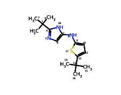 CC(C)(C)c1ncc(Nc2ccc(C(C)(C)C)s2)[nH]1